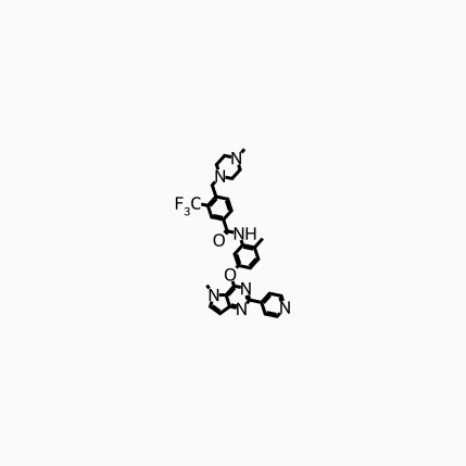 Cc1ccc(Oc2nc(-c3ccncc3)nc3ccn(C)c23)cc1NC(=O)c1ccc(CN2CCN(C)CC2)c(C(F)(F)F)c1